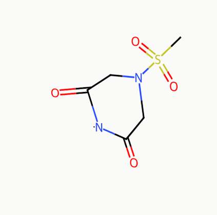 CS(=O)(=O)N1CC(=O)[N]C(=O)C1